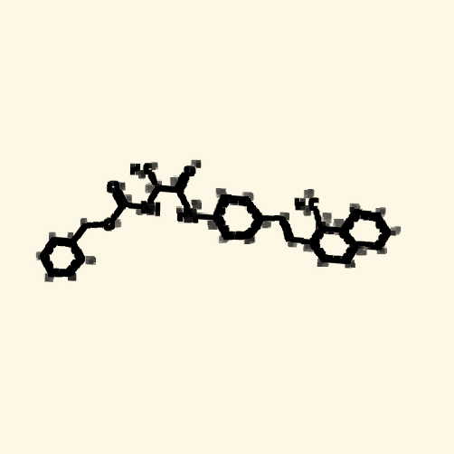 C[C@H](NC(=O)OCc1ccccc1)C(=O)Nc1ccc(C=Cc2ccc3ccccc3[n+]2C)cc1